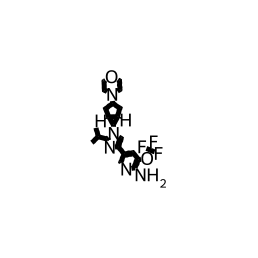 CC(C)c1nc(-c2cnc(N)c(OC(F)(F)F)c2)cn1C1[C@H]2CC(N3CCOCC3)C[C@@H]12